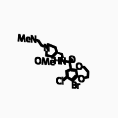 CNCCN1CC[C@@H](CNC(=O)c2cc(Cl)c(Br)c3c2OCCCO3)C(OC)C1